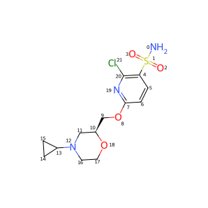 NS(=O)(=O)c1ccc(OC[C@@H]2CN(C3CC3)CCO2)nc1Cl